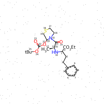 CCOC(=O)C(CCc1ccccc1)N[C@@H](C)C(=O)N1CCSCC1OC(=O)OC(C)(C)C